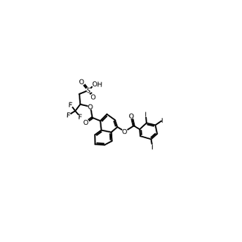 O=C(Oc1ccc(C(=O)OC(CS(=O)(=O)O)C(F)(F)F)c2ccccc12)c1cc(I)cc(I)c1I